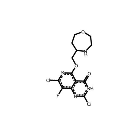 O=c1[nH]c(Cl)nc2c(F)c(Cl)nc(OCC3CCOCCN3)c12